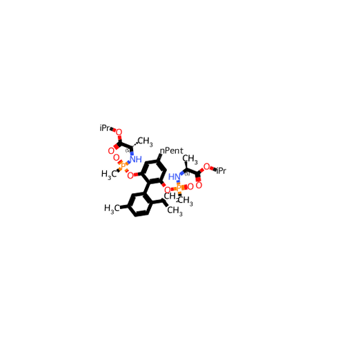 C=C(C)c1ccc(C)cc1-c1c(OP(C)(=O)N[C@@H](C)C(=O)OC(C)C)cc(CCCCC)cc1OP(C)(=O)N[C@@H](C)C(=O)OC(C)C